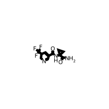 NC(=O)C1(NC(=O)C2=CC(C(F)(F)F)CN=C2)CC1